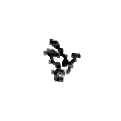 CC(CO)OCCOO.CC(O)COC(C)CO